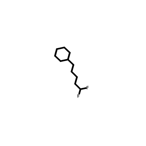 FC(F)CCCCC1CCCCC1